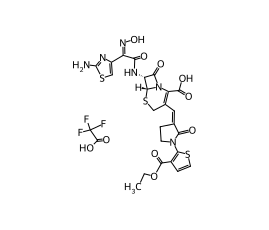 CCOC(=O)c1ccsc1N1CC/C(=C\C2=C(C(=O)O)N3C(=O)[C@@H](NC(=O)/C(=N\O)c4csc(N)n4)[C@H]3SC2)C1=O.O=C(O)C(F)(F)F